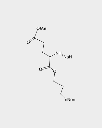 CCCCCCCCCCCCOC(=O)C(N)CCC(=O)OC.[NaH]